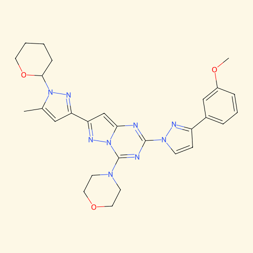 COc1cccc(-c2ccn(-c3nc(N4CCOCC4)n4nc(-c5cc(C)n(C6CCCCO6)n5)cc4n3)n2)c1